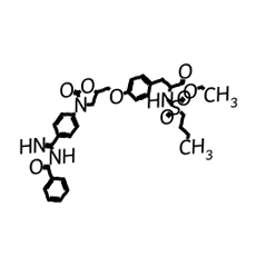 CCCCS(=O)(=O)NC(Cc1ccc(OCC2CN(c3ccc(C(=N)NC(=O)c4ccccc4)cc3)C(=O)O2)cc1)C(=O)OCC